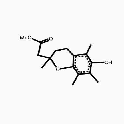 COC(=O)CC1(C)CCc2c(C)c(O)c(C)c(C)c2O1